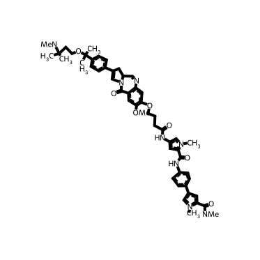 CNC(=O)c1cc(-c2ccc(NC(=O)c3cc(NC(=O)CCCOc4cc5c(cc4OC)C(=O)N4C=C(c6ccc(C(C)(C)OCCC(C)(C)NC)cc6)CC4C=N5)cn3C)cc2)cn1C